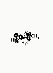 CCc1cc(NCc2ccc(-c3ccccc3-c3nnn[nH]3)cc2)n2c(C(=O)O)nc(C)c2n1